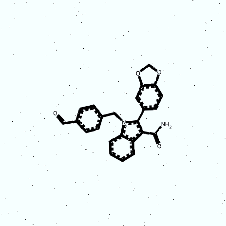 NC(=O)c1c(-c2ccc3c(c2)OCO3)n(Cc2ccc(C=O)cc2)c2ccccc12